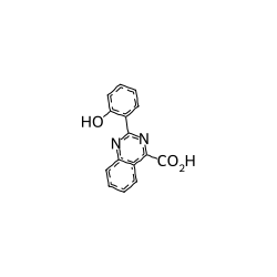 O=C(O)c1nc(-c2ccccc2O)nc2ccccc12